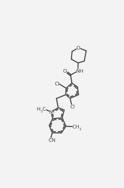 Cc1cc(C#N)cc2c1cc(Cc1c(Cl)ccc(C(=O)NC3CCOCC3)c1Cl)n2C